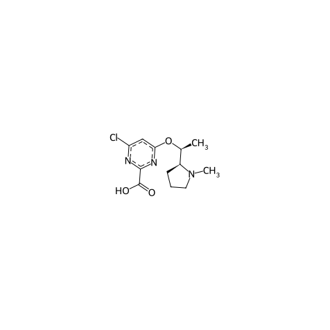 C[C@H](Oc1cc(Cl)nc(C(=O)O)n1)[C@@H]1CCCN1C